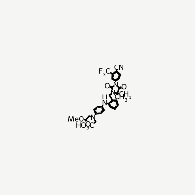 COC(=O)CN(CC(=O)O)c1ccc(Nc2ccccc2CN2C(=O)N(c3ccc(C#N)c(C(F)(F)F)c3)C(=O)C2(C)C)cc1